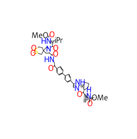 COC(=O)N[C@H](C(=O)C1CCC[C@H]1c1ncc(-c2ccc(-c3ccc(C(=O)CNC(=O)C4CC5(CCS(=O)(=O)CC5)CN4C(=O)[C@@H](NC(=O)OC)C(C)C)cc3)cc2)[nH]1)C(C)C